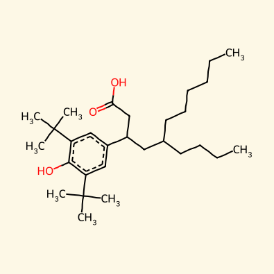 CCCCCCC(CCCC)CC(CC(=O)O)c1cc(C(C)(C)C)c(O)c(C(C)(C)C)c1